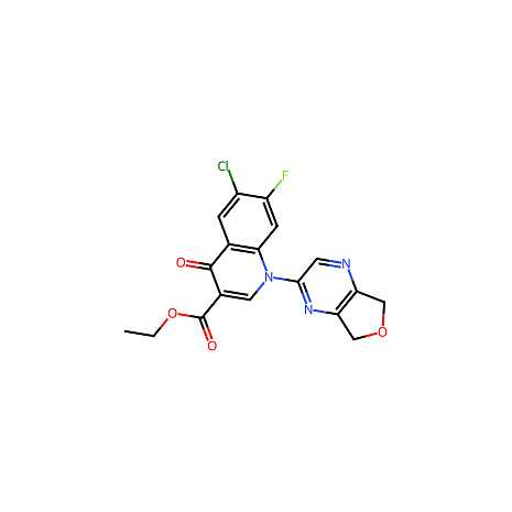 CCOC(=O)c1cn(-c2cnc3c(n2)COC3)c2cc(F)c(Cl)cc2c1=O